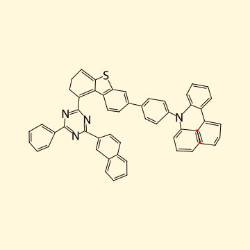 C1=c2sc3cc(-c4ccc(N(c5ccccc5)c5ccccc5-c5ccccc5)cc4)ccc3c2=C(c2nc(-c3ccccc3)nc(-c3ccc4ccccc4c3)n2)CC1